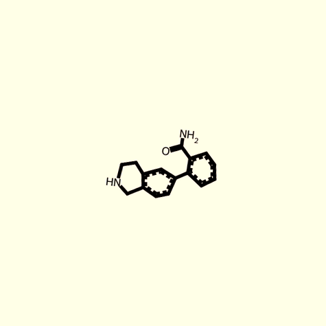 NC(=O)c1ccccc1-c1ccc2c(c1)CCNC2